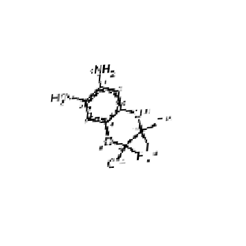 Nc1cc2c(cc1N)OC(F)(Cl)C(F)(F)O2